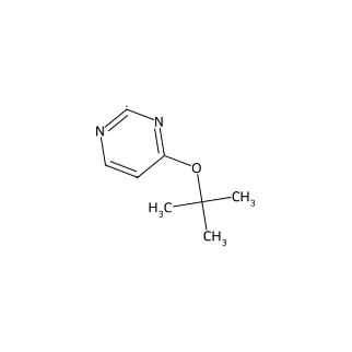 CC(C)(C)Oc1ccn[c]n1